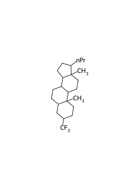 CCCC1CCC2C3CCC4CC(C(F)(F)F)CCC4(C)C3CCC12C